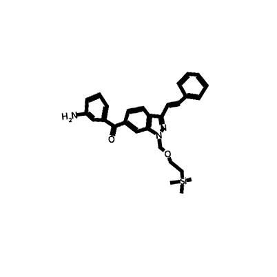 C[Si](C)(C)CCOCn1nc(C=Cc2ccccc2)c2ccc(C(=O)c3cccc(N)c3)cc21